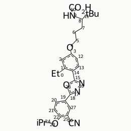 CCc1cc(OCCCC(NC(=O)O)C(C)(C)C)ccc1-c1nnc(-c2ccc(OC(C)C)c(C#N)c2)o1